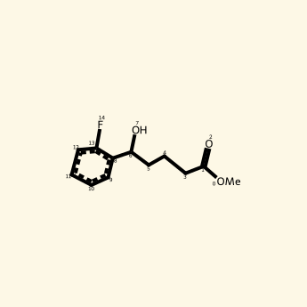 COC(=O)CCCC(O)c1ccccc1F